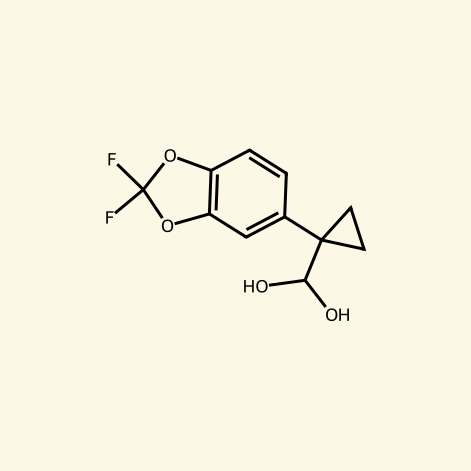 OC(O)C1(c2ccc3c(c2)OC(F)(F)O3)CC1